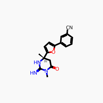 CN1C(=N)N[C@](C)(c2ccc(-c3cccc(C#N)c3)o2)CC1=O